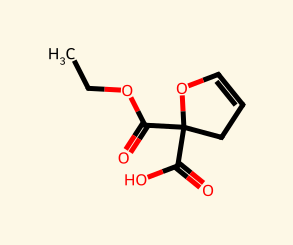 CCOC(=O)C1(C(=O)O)CC=CO1